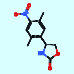 Cc1cc([N+](=O)[O-])c(C)cc1C1COC(=O)N1